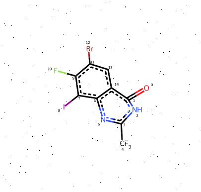 O=c1[nH]c(C(F)(F)F)nc2c(I)c(F)c(Br)cc12